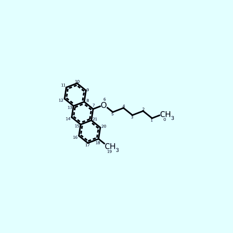 CCCCCCOc1c2ccccc2cc2ccc(C)cc12